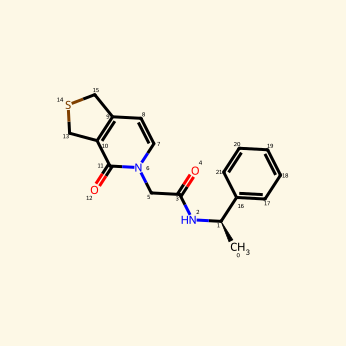 C[C@@H](NC(=O)Cn1ccc2c(c1=O)CSC2)c1ccccc1